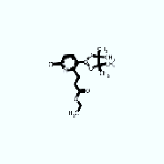 CCOC(=O)CCc1nc(Cl)ccc1B1OC(C)(C)C(C)(C)O1